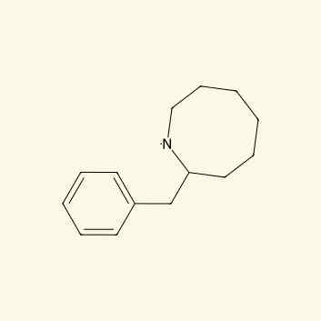 c1ccc(CC2CCCCCC[N]2)cc1